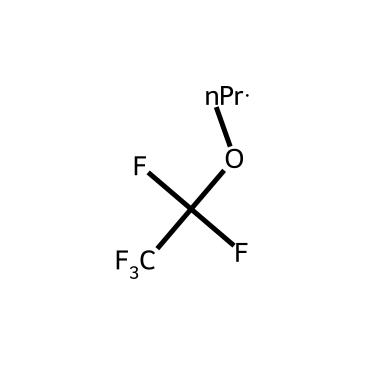 CC[CH]OC(F)(F)C(F)(F)F